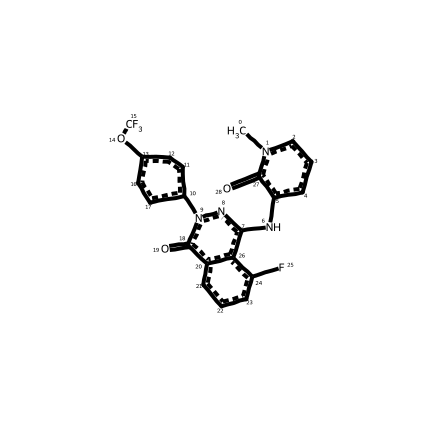 Cn1cccc(Nc2nn(-c3ccc(OC(F)(F)F)cc3)c(=O)c3cccc(F)c23)c1=O